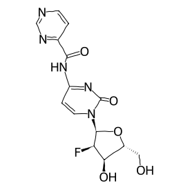 O=C(Nc1ccn([C@H]2O[C@H](CO)[C@@H](O)[C@H]2F)c(=O)n1)c1ccncn1